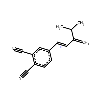 C=C(/C=C/c1ccc(C#N)c(C#N)c1)C(C)C